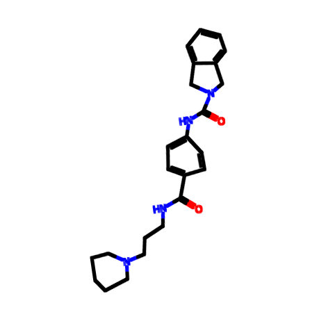 O=C(NCCCN1CCCCC1)c1ccc(NC(=O)N2Cc3ccccc3C2)cc1